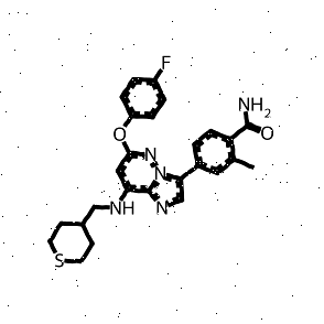 Cc1cc(-c2cnc3c(NCC4CCSCC4)cc(Oc4ccc(F)cc4)nn23)ccc1C(N)=O